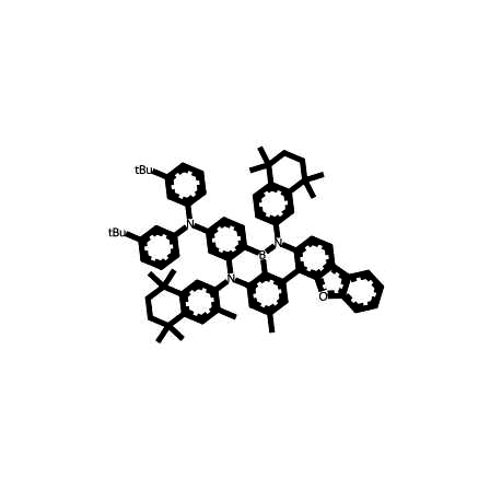 Cc1cc2c3c(c1)N(c1cc4c(cc1C)C(C)(C)CCC4(C)C)c1cc(N(c4cccc(C(C)(C)C)c4)c4cccc(C(C)(C)C)c4)ccc1B3N(c1ccc3c(c1)C(C)(C)CCC3(C)C)c1ccc3c(oc4ccccc43)c1-2